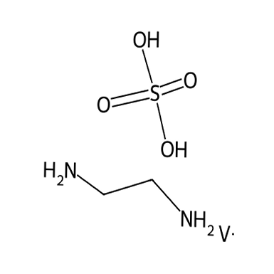 NCCN.O=S(=O)(O)O.[V]